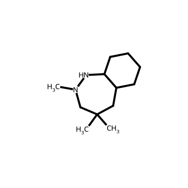 CN1CC(C)(C)CC2CCCCC2N1